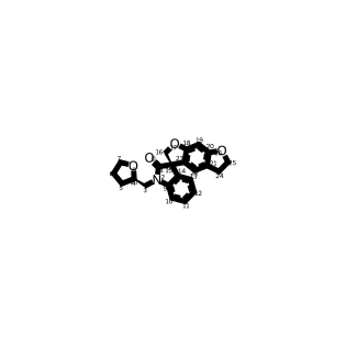 O=C1N(C[C@H]2CCCO2)c2ccccc2[C@]12COc1cc3c(cc12)CCO3